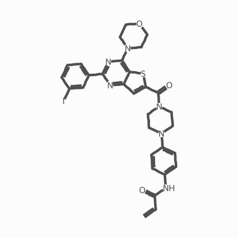 C=CC(=O)Nc1ccc(N2CCN(C(=O)c3cc4nc(-c5cccc(I)c5)nc(N5CCOCC5)c4s3)CC2)cc1